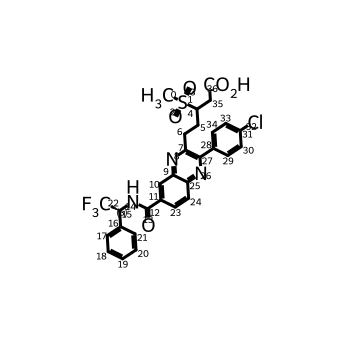 CS(=O)(=O)C(CCc1nc2cc(C(=O)N[C@@H](c3ccccc3)C(F)(F)F)ccc2nc1-c1ccc(Cl)cc1)CC(=O)O